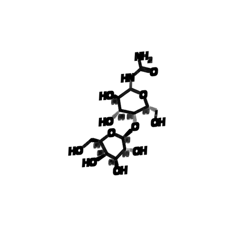 NC(=O)NC1O[C@H](CO)[C@H](O[C@@H]2O[C@H](CO)[C@H](O)[C@H](O)[C@H]2O)[C@H](O)[C@H]1O